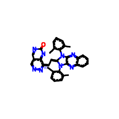 Cc1cccc(C)c1N1C(=C/C=c2/nncc3c2=NC(=O)N=C3)N(c2c(C)cccc2C)c2nc3ccccc3nc21